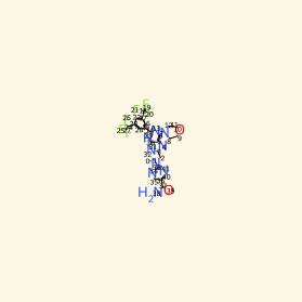 CN(Cc1nc2c(N3CCOCC3)nc(-c3cc(C(F)(F)F)cc(C(F)(F)F)c3)nc2n1C)c1ncc(C(N)=O)cn1